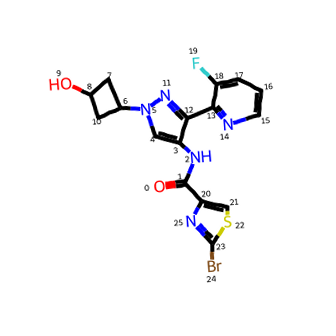 O=C(Nc1cn(C2CC(O)C2)nc1-c1ncccc1F)c1csc(Br)n1